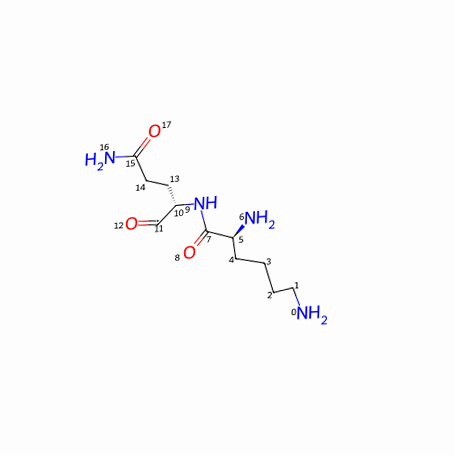 NCCCC[C@H](N)C(=O)N[C@H]([C]=O)CCC(N)=O